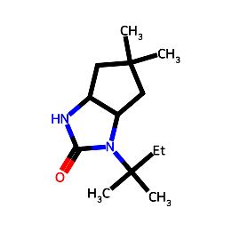 CCC(C)(C)N1C(=O)NC2CC(C)(C)CC21